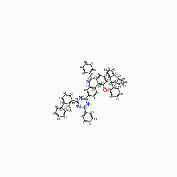 c1ccc(-c2nc(-c3ccc4c(c3)nc(-c3ccccc3)c3ccc5c(c34)Oc3ccccc3C53c4ccccc4-c4ccccc43)nc(-c3cccc4c3sc3ccccc34)n2)cc1